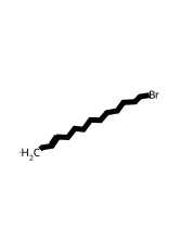 [CH2]CC=CCCCCCCCCCCBr